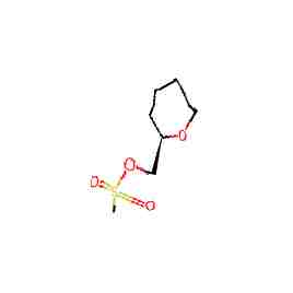 CS(=O)(=O)OC[C@H]1CCCCO1